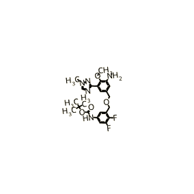 COc1c(N)cc(COCc2cc(NC(=O)OC(C)(C)C)cc(F)c2F)cc1-c1ncn(C)n1